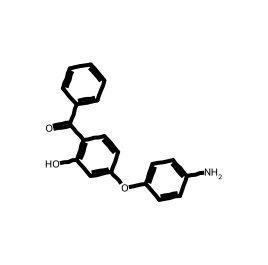 Nc1ccc(Oc2ccc(C(=O)c3ccccc3)c(O)c2)cc1